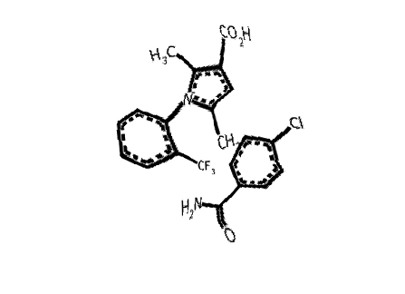 Cc1cc(C(=O)O)c(C)n1-c1ccccc1C(F)(F)F.NC(=O)c1ccc(Cl)cc1